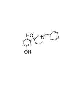 Oc1cccc(C2(O)CCCN(Cc3ccccc3)C2)c1